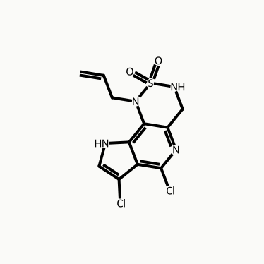 C=CCN1c2c(nc(Cl)c3c(Cl)c[nH]c23)CNS1(=O)=O